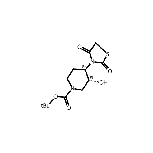 CC(C)(C)OC(=O)N1CC[C@@H](N2C(=O)CSC2=O)[C@H](O)C1